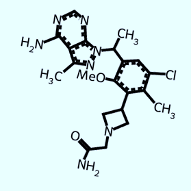 COc1c(C(C)n2nc(C)c3c(N)ncnc32)cc(Cl)c(C)c1C1CN(CC(N)=O)C1